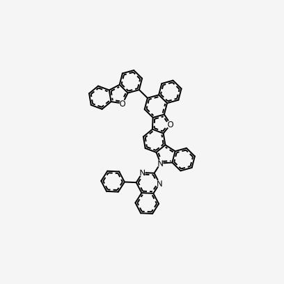 c1ccc(-c2nc(-n3c4ccccc4c4c5oc6c7ccccc7c(-c7cccc8c7oc7ccccc78)cc6c5ccc43)nc3ccccc23)cc1